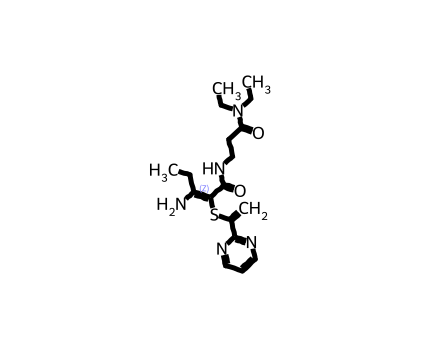 C=C(S/C(C(=O)NCCC(=O)N(CC)CC)=C(\N)CC)c1ncccn1